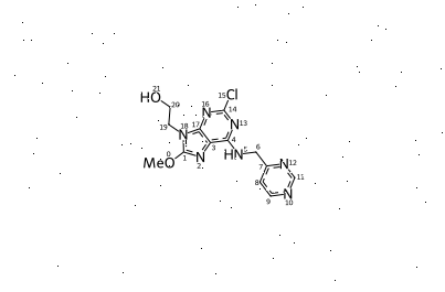 COc1nc2c(NCc3ccncn3)nc(Cl)nc2n1CCO